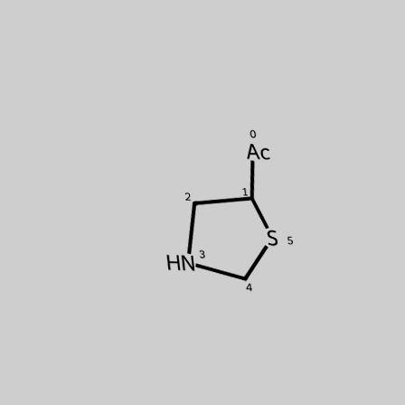 CC(=O)C1CNCS1